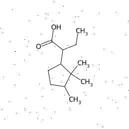 CCC(C(=O)O)C1CCC(C)C1(C)C